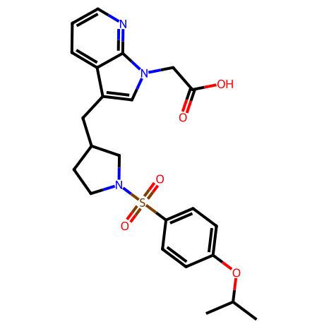 CC(C)Oc1ccc(S(=O)(=O)N2CCC(Cc3cn(CC(=O)O)c4ncccc34)C2)cc1